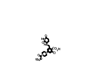 CC(C)(C)OC(=O)N1CCN(c2cc(Cl)c(C(=O)O)c(CNC3CCC(=O)NC3=O)c2)CC1